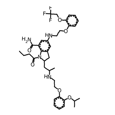 CCCC(=O)N1c2c(cc(NCCOc3ccccc3OCC(F)(F)F)cc2C(N)=O)CC1CC(C)NCCOc1ccccc1OC(C)C